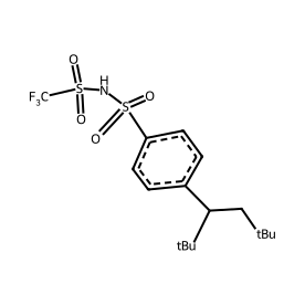 CC(C)(C)CC(c1ccc(S(=O)(=O)NS(=O)(=O)C(F)(F)F)cc1)C(C)(C)C